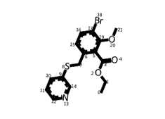 CCOC(=O)c1c(CSc2cccnc2)ccc(Br)c1OC